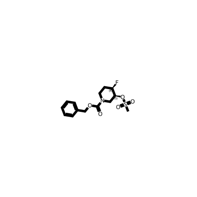 CS(=O)(=O)O[C@H]1CN(C(=O)OCc2ccccc2)CC[C@H]1F